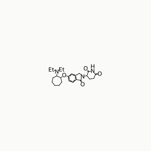 CCN(CC)C1CCCCCC1Oc1ccc2c(c1)CN(C1CCC(=O)NC1=O)C2=O